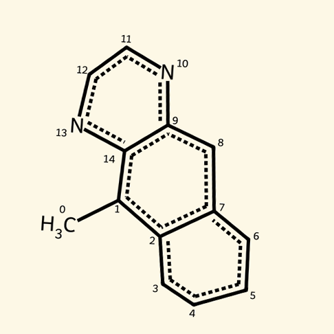 Cc1c2ccccc2cc2nccnc12